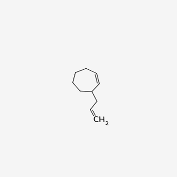 C=CCC1C=CCCCC1